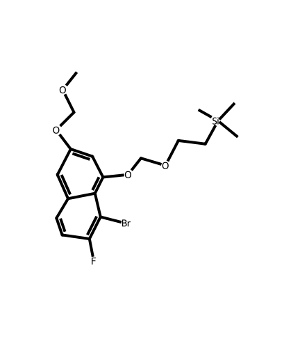 COCOc1cc(OCOCC[Si](C)(C)C)c2c(Br)c(F)ccc2c1